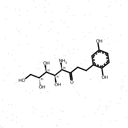 N[C@@H](C(=O)CCc1cc(O)ccc1O)[C@@H](O)[C@H](O)[C@H](O)CO